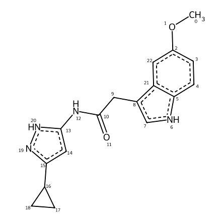 COc1ccc2[nH]cc(CC(=O)Nc3cc(C4CC4)n[nH]3)c2c1